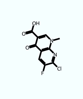 Cn1cc(C(=O)O)c(=O)c2cc(F)c(Cl)nc21